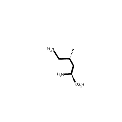 C[C@@H](CN)C[C@H](N)C(=O)O